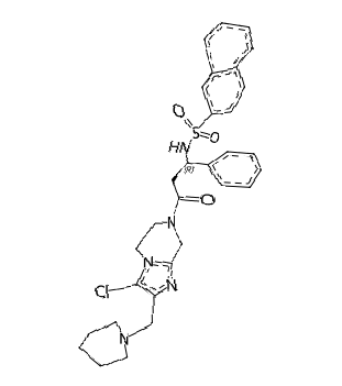 O=C(C[C@@H](NS(=O)(=O)c1ccc2ccccc2c1)c1ccccc1)N1CCn2c(nc(CN3CCCCC3)c2Cl)C1